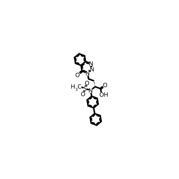 CS(=O)(=O)N(c1ccc(-c2ccccc2)cc1)[C@H](CCn1nnc2ccccc2c1=O)C(=O)O